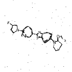 C=C1CCCCN1c1ccc2nc(-c3ccc(N4CCC(F)C4)nc3)sc2c1